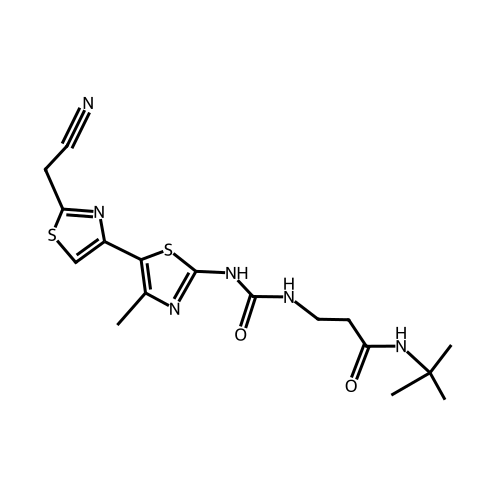 Cc1nc(NC(=O)NCCC(=O)NC(C)(C)C)sc1-c1csc(CC#N)n1